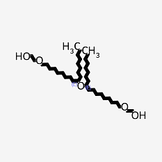 CCCCCCCC/C(=C\CCCCCCCCOCCO)O/C(=C/CCCCCCCCOCCO)CCCCCCCC